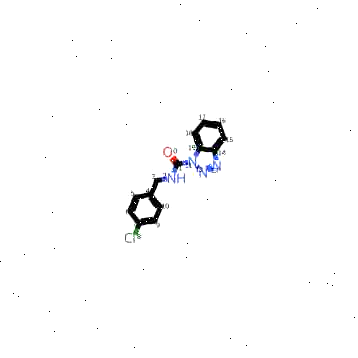 O=C(NCc1ccc(Cl)cc1)n1nnc2ccccc21